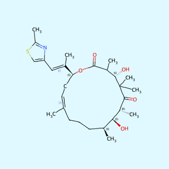 C/C1=C/C[C@@H](/C(C)=C/c2csc(C)n2)OC(=O)C(C)[C@H](O)C(C)(C)C(=O)[C@H](C)[C@@H](O)[C@@H](C)CCC1